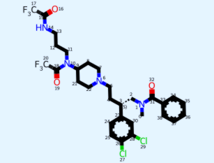 CN(C[C@@H](CCN1CCC(N(CCCNC(=O)C(F)(F)F)C(=O)C(F)(F)F)CC1)c1ccc(Cl)c(Cl)c1)C(=O)c1ccccc1